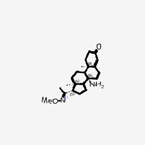 CO/N=C(\C)[C@H]1CCC2[C@]3(N)CCC4=CC(=O)CC[C@]4(C)C3CC[C@@]21C